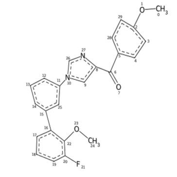 COc1ccc(C(=O)c2cn(-c3cccc(-c4cccc(F)c4OC)c3)cn2)cc1